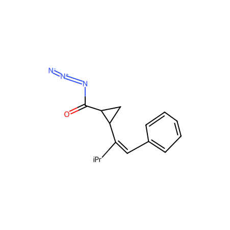 CC(C)C(=Cc1ccccc1)C1CC1C(=O)N=[N+]=[N-]